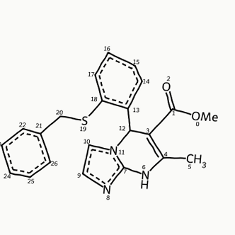 COC(=O)C1=C(C)Nc2nccn2C1c1ccccc1SCc1ccccc1